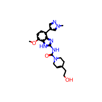 COc1ccc(-c2cnn(C)c2)c2nc(NC(=O)N3CC=C(CCO)CC3)[nH]c12